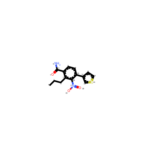 CCCc1c(C(N)=O)ccc(-c2ccsc2)c1[N+](=O)[O-]